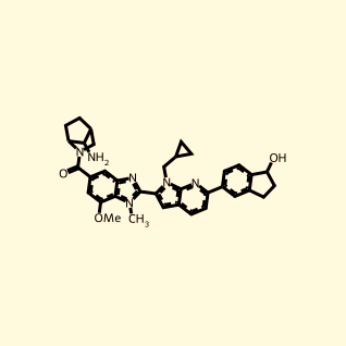 COc1cc(C(=O)N2CC3CCC2C3N)cc2nc(-c3cc4ccc(-c5ccc6c(c5)CCC6O)nc4n3CC3CC3)n(C)c12